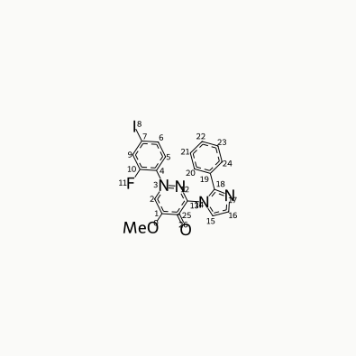 COc1cn(-c2ccc(I)cc2F)nc(-n2ccnc2-c2ccccc2)c1=O